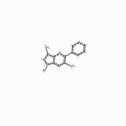 Cc1cc2c(nc1-c1ccccc1)c(C)nn2C(C)C